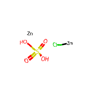 O=S(=O)(O)O.[Cl][Zn].[Zn]